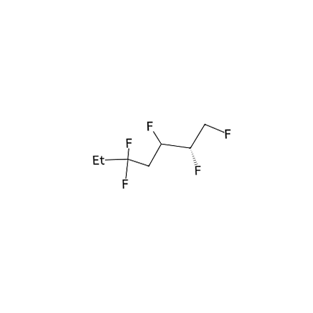 [CH2]CC(F)(F)CC(F)[C@@H](F)CF